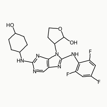 OC1CCC(Nc2ncc3nc(Nc4c(F)cc(F)cc4F)n(C4CCOC4O)c3n2)CC1